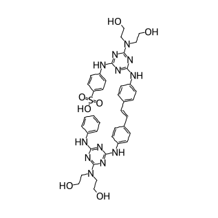 O=S(=O)(O)c1ccc(Nc2nc(Nc3ccc(/C=C/c4ccc(Nc5nc(Nc6ccccc6)nc(N(CCO)CCO)n5)cc4)cc3)nc(N(CCO)CCO)n2)cc1